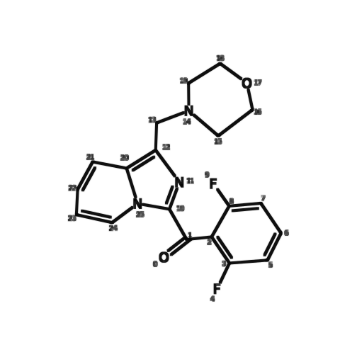 O=C(c1c(F)cccc1F)c1nc(CN2CCOCC2)c2ccccn12